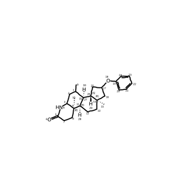 CC1CC2NC(=O)CC[C@]2(C)[C@@H]2CC[C@]3(C)CC(Oc4ccccc4)C[C@H]3[C@H]12